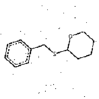 c1ccc(CSC2CCCCO2)cc1